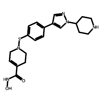 O=C(NO)C1=CCN(Sc2ccc(-c3cnn(C4CCNCC4)c3)cc2)CC1